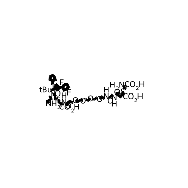 CC(C)(C)[C@H](c1cc(-c2cc(F)ccc2F)cn1Cc1ccccc1)N(CCCN)C(=O)CSC[C@H](NC(=O)CCOCCOCCOCCOCCNC(=O)CNC(=O)C[C@@H](SC[C@H](N)C(=O)O)C(=O)O)C(=O)O